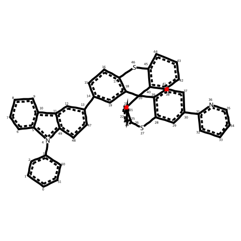 c1ccc(-n2c3ccccc3c3cc(-c4ccc5c(c4)C4(c6ccccc6Sc6cc(-c7ccccn7)ccc64)c4ccccc4S5)ccc32)cc1